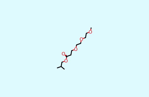 COCCOCCOCCC(=O)OCC(C)C